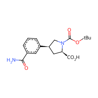 CC(C)(C)OC(=O)N1C[C@H](c2cccc(C(N)=O)c2)C[C@@H]1C(=O)O